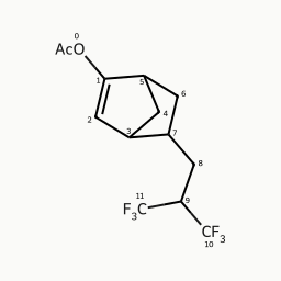 CC(=O)OC1=CC2CC1CC2CC(C(F)(F)F)C(F)(F)F